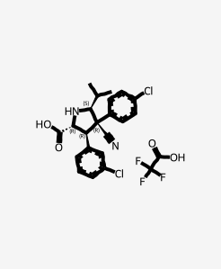 CC(C)[C@@H]1N[C@@H](C(=O)O)[C@H](c2cccc(Cl)c2)[C@@]1(C#N)c1ccc(Cl)cc1.O=C(O)C(F)(F)F